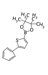 CC1(C)OB(c2ccc(-c3ccccc3)s2)OC1(C)C